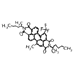 CCCCC(C)N1C(=O)c2ccc3c4c(C)cc5c6c(cc(C(F)(F)F)c(c7ccc(c2c37)C1=O)c64)C(=O)N(C(C)CCCC)C5=O